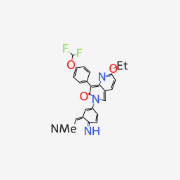 CCOc1ccc2cn(C3=C/C(=C/NC)C(=N)C=C3)c(=O)c(-c3ccc(OC(F)F)cc3)c2n1